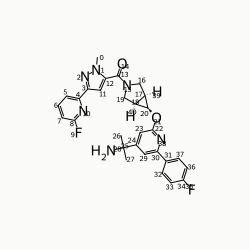 Cn1nc(-c2cccc(F)n2)cc1C(=O)N1C[C@@H]2[C@H](C1)[C@@H]2Oc1cc(C(C)(C)N)cc(-c2ccc(F)cc2)n1